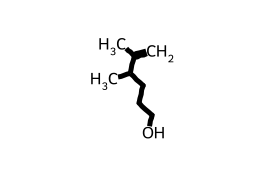 C=C(C)C(C)CCCO